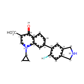 O=C(O)c1cn(C2CC2)c2cc(-c3cc4c(cc3F)CNC4)ccc2c1=O